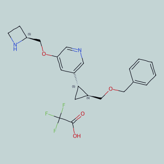 O=C(O)C(F)(F)F.c1ccc(COC[C@H]2C[C@@H]2c2cncc(OC[C@@H]3CCN3)c2)cc1